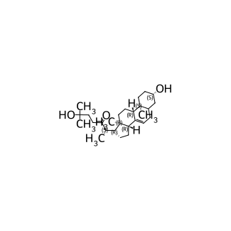 C[C@H](C(=O)CCC(C)(C)O)[C@H]1CC[C@H]2C3=CCC4C[C@@H](O)CC[C@]4(C)[C@H]3CC[C@]12C